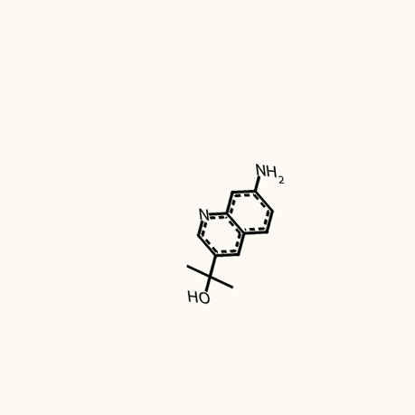 CC(C)(O)c1cnc2cc(N)ccc2c1